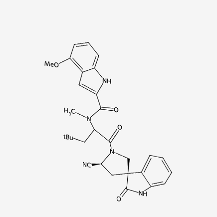 COc1cccc2[nH]c(C(=O)N(C)C(CC(C)(C)C)C(=O)N3C[C@]4(C[C@H]3C#N)C(=O)Nc3ccccc34)cc12